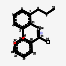 CCCc1cccc(CCC)c1/N=C(/Cl)c1ccccc1